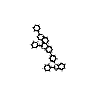 c1ccc(-c2ccc3c(ccc4c5ccc(-c6ccc(-n7c(-c8ccccc8)nc8ccccc87)cc6)cc5nc(-c5ccccc5)c34)n2)cc1